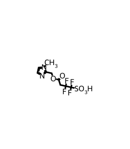 Cn1ccnc1COC(=O)CC(F)(F)C(F)(F)S(=O)(=O)O